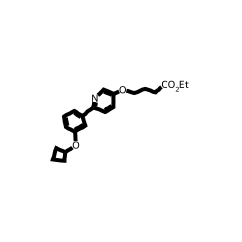 CCOC(=O)CCCOc1ccc(-c2cccc(OC3CCC3)c2)nc1